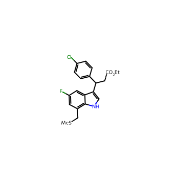 CCOC(=O)CC(c1ccc(Cl)cc1)c1c[nH]c2c(CSC)cc(F)cc12